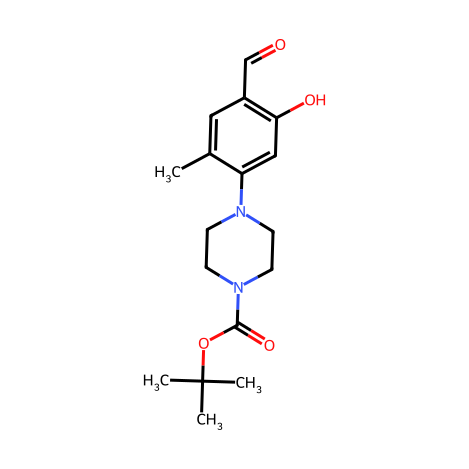 Cc1cc(C=O)c(O)cc1N1CCN(C(=O)OC(C)(C)C)CC1